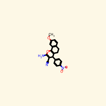 COc1ccc2c(c1)C1=C(CC2)C(c2ccc([N+](=O)[O-])cc2)C(C#N)=C(N)O1